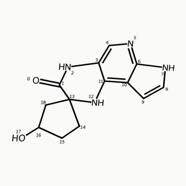 O=C1Nc2cnc3[nH]ccc3c2NC12CCC(O)C2